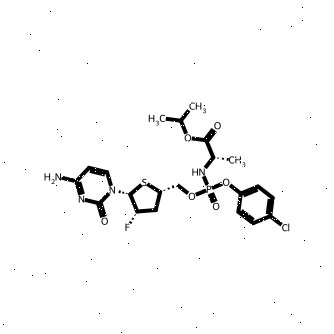 CC(C)OC(=O)[C@H](C)NP(=O)(OC[C@@H]1C[C@H](F)[C@H](n2ccc(N)nc2=O)S1)Oc1ccc(Cl)cc1